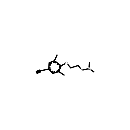 C#Cc1cc(C)c(OCCO[Si](C)C)c(C)c1